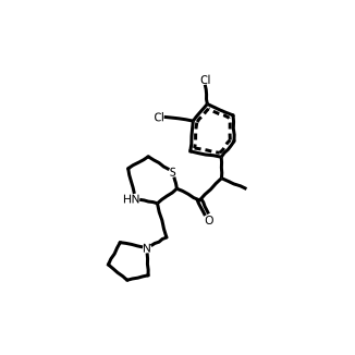 CC(C(=O)C1SCCNC1CN1CCCC1)c1ccc(Cl)c(Cl)c1